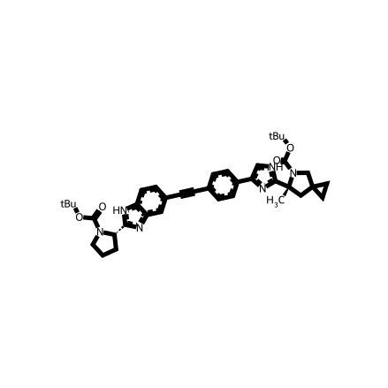 CC(C)(C)OC(=O)N1CCC[C@H]1c1nc2cc(C#Cc3ccc(-c4c[nH]c([C@@]5(C)CC6(CC6)CN5C(=O)OC(C)(C)C)n4)cc3)ccc2[nH]1